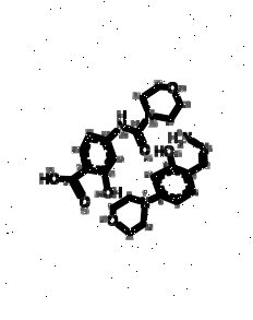 N/N=C\c1ccc(N2CCOCC2)cc1O.O=C(O)c1ccc(NC(=O)N2CCOCC2)cc1O